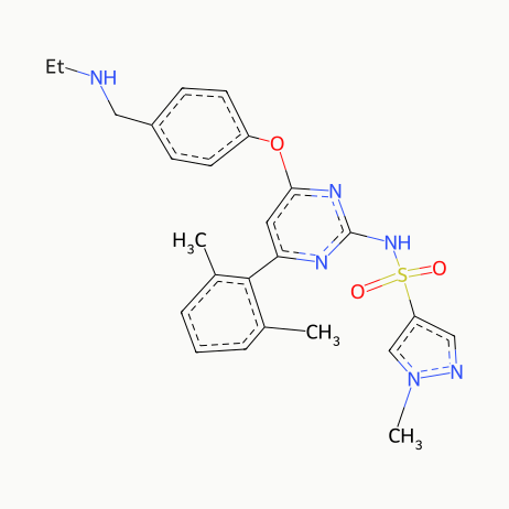 CCNCc1ccc(Oc2cc(-c3c(C)cccc3C)nc(NS(=O)(=O)c3cnn(C)c3)n2)cc1